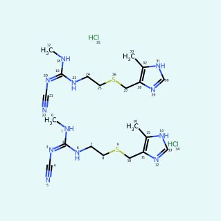 CN/C(=N/C#N)NCCSCc1nc[nH]c1C.CN/C(=N/C#N)NCCSCc1nc[nH]c1C.Cl.Cl